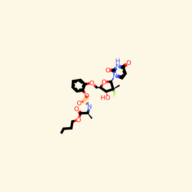 CCCCOC(=O)[C@H](C)/N=[P+](\[O-])Oc1ccccc1OC[C@H]1O[C@@H](n2ccc(=O)[nH]c2=O)[C@](C)(F)[C@@H]1O